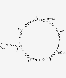 CCCCCCCCC1CCCCCC(CCC)CCCCC(CCCCCC)COC(=O)CCCCCC(=O)OCCCN(C(=O)CCCN2CCCCC2)CCCOC(=O)CCCCCC(=O)OC1